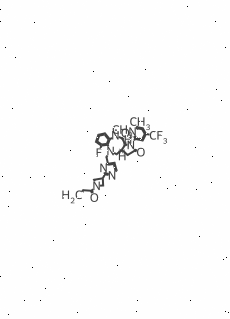 C=CC(=O)N1CC(c2nccc(CN3C[C@H]4CC(=O)N(c5cc(C(F)(F)F)cc(C)n5)[C@@H]4C(=O)N(C)c4cccc(F)c43)n2)C1